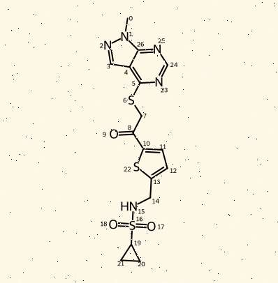 Cn1ncc2c(SCC(=O)c3ccc(CNS(=O)(=O)C4CC4)s3)ncnc21